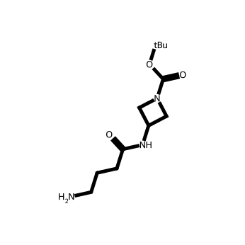 CC(C)(C)OC(=O)N1CC(NC(=O)CCCN)C1